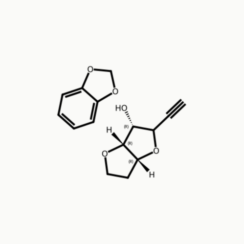 C#CC1O[C@@H]2CCO[C@@H]2[C@@H]1O.c1ccc2c(c1)OCO2